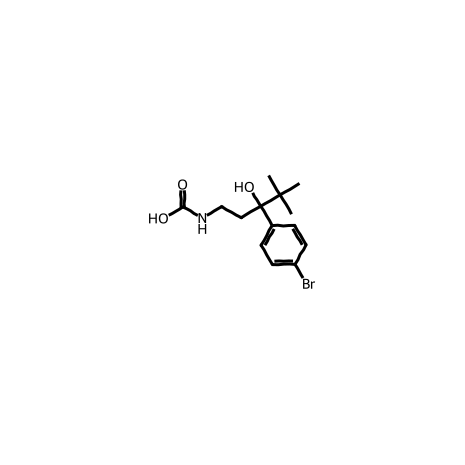 CC(C)(C)C(O)(CCNC(=O)O)c1ccc(Br)cc1